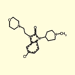 CN1CCC(n2c(=O)n(CCN3CCOCC3)c3cc(Cl)ccc32)CC1